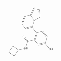 O=C(NC1CCC1)c1cc(O)ccc1-c1cccc2nccn12